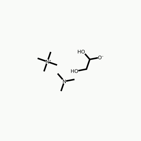 CN(C)C.C[N+](C)(C)C.[O-]C(O)CO